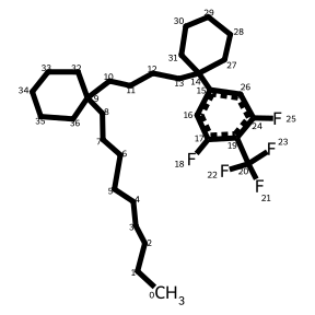 CCCCCCCCCC1(CCCCC2(c3cc(F)c(C(F)(F)F)c(F)c3)CCCCC2)CCCCC1